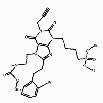 C#CCn1c(=O)c2c(nc(CCc3ccccc3Br)n2CCNC(=O)OC(C)(C)C)n(CCCCP(=O)(OCC)OCC)c1=O